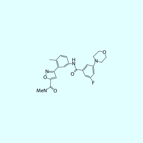 CNC(=O)c1cc(-c2cc(NC(=O)c3cc(F)cc(N4CCOCC4)c3)ccc2C)no1